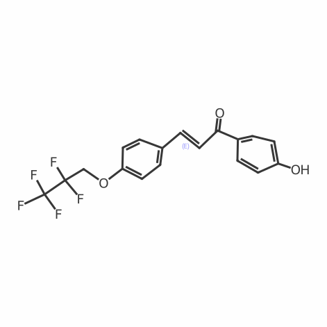 O=C(/C=C/c1ccc(OCC(F)(F)C(F)(F)F)cc1)c1ccc(O)cc1